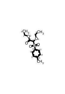 CCOC(=O)C(OCC)S(=O)(=O)c1ccc(C)cc1